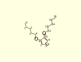 CCCCCOc1cscc1OCCCCC